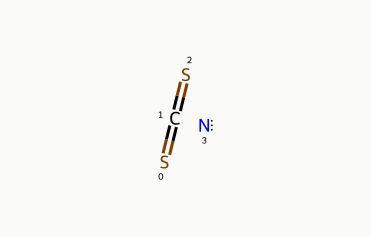 S=C=S.[N]